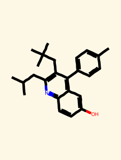 Cc1ccc(-c2c([CH]C(C)(C)C)c(CC(C)C)nc3ccc(O)cc23)cc1